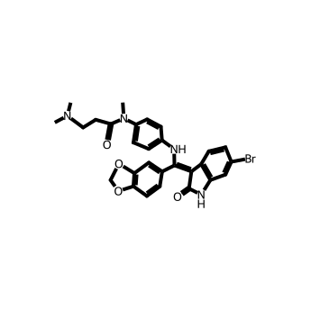 CN(C)CCC(=O)N(C)c1ccc(NC(=C2C(=O)Nc3cc(Br)ccc32)c2ccc3c(c2)OCO3)cc1